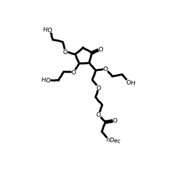 CCCCCCCCCCCC(=O)OCCOCC(OCCO)C1C(=O)CC(OCCO)C1OCCO